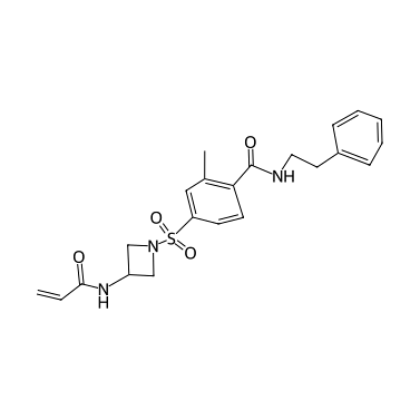 C=CC(=O)NC1CN(S(=O)(=O)c2ccc(C(=O)NCCc3ccccc3)c(C)c2)C1